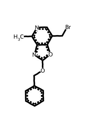 Cc1ncc(CBr)c2oc(OCc3ccccc3)nc12